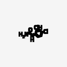 Cl.NC(=O)Nc1ccc(Cl)cc1